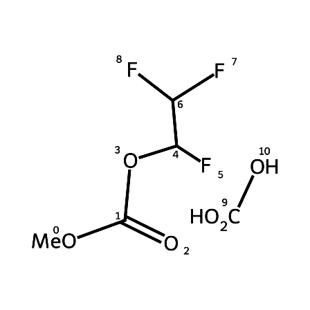 COC(=O)OC(F)C(F)F.O=C(O)O